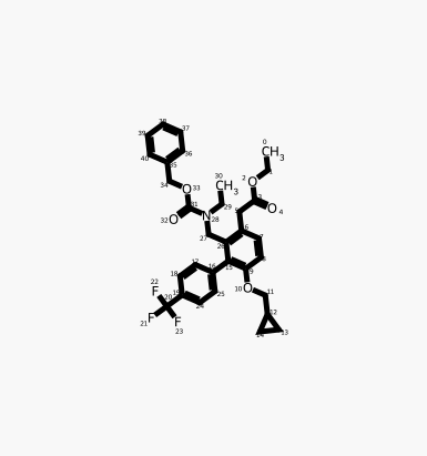 CCOC(=O)Cc1ccc(OCC2CC2)c(-c2ccc(C(F)(F)F)cc2)c1CN(CC)C(=O)OCc1ccccc1